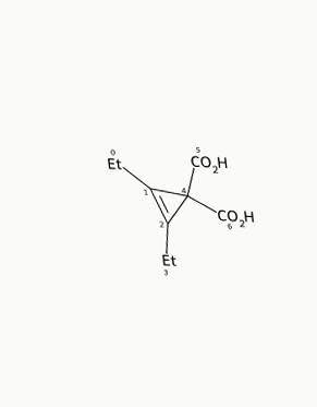 CCC1=C(CC)C1(C(=O)O)C(=O)O